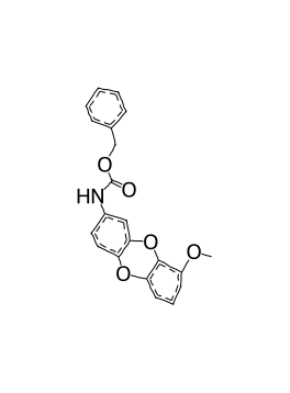 COc1cccc2c1Oc1cc(NC(=O)OCc3ccccc3)ccc1O2